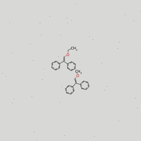 CCOC=C(c1ccccc1)c1ccccc1.COC=C(c1ccccc1)c1ccccc1